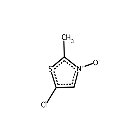 Cc1sc(Cl)c[n+]1[O-]